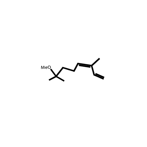 C=CC(C)=CCCC(C)(C)OC